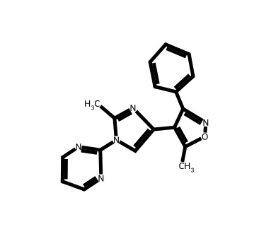 Cc1onc(-c2ccccc2)c1-c1cn(-c2ncccn2)c(C)n1